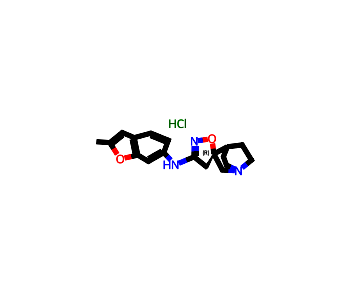 Cc1cc2ccc(NC3=NO[C@@]4(C3)CN3CCC4CC3)cc2o1.Cl